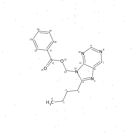 CCCCc1nc2cncnc2n1COC(=O)c1ccccc1